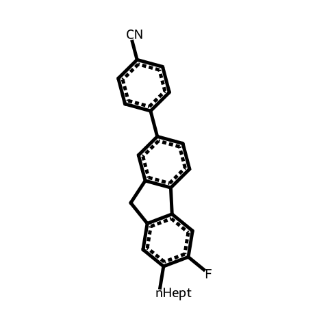 CCCCCCCc1cc2c(cc1F)-c1ccc(-c3ccc(C#N)cc3)cc1C2